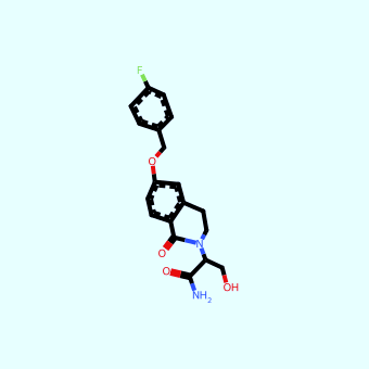 NC(=O)C(CO)N1CCc2cc(OCc3ccc(F)cc3)ccc2C1=O